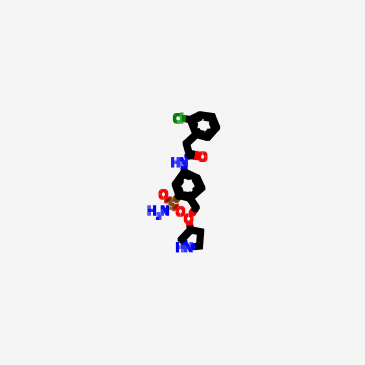 NS(=O)(=O)c1cc(NC(=O)Cc2ccccc2Cl)ccc1COC1CCNC1